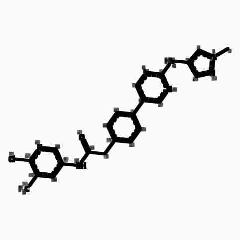 Cn1cc(Nc2ncc(-c3ccc(CC(=O)Nc4cnc(Cl)c(C(F)(F)F)c4)cc3)cn2)cn1